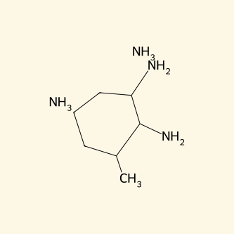 CC1CCCC(N)C1N.N.N